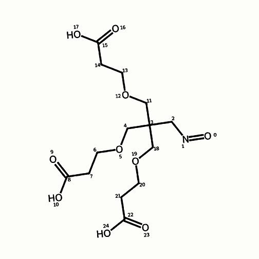 O=NCC(COCCC(=O)O)(COCCC(=O)O)COCCC(=O)O